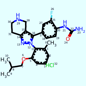 Cc1cccc(OCC(C)C)c1-n1nc2c(c1-c1ccc(NC(N)=O)c(F)c1)CNCC2.Cl